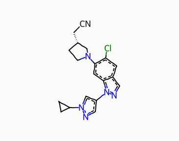 N#CC[C@H]1CCN(c2cc3c(cnn3-c3cnn(C4CC4)c3)cc2Cl)C1